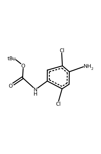 CC(C)(C)OC(=O)Nc1cc(Cl)c(N)cc1Cl